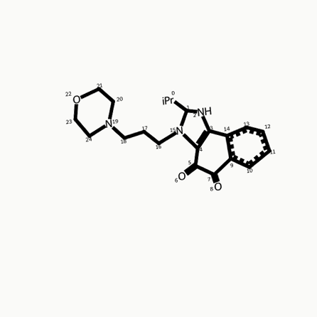 CC(C)C1NC2=C(C(=O)C(=O)c3ccccc32)N1CCCN1CCOCC1